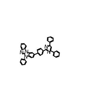 c1ccc(-c2cc(-c3ccccc3)nc(-c3ccc(-c4ccc5c(c4)n4c6ccccc6nc4n5-c4ccccc4)cc3)n2)cc1